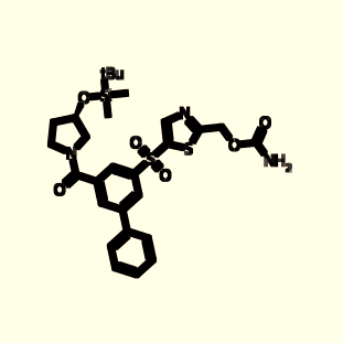 CC(C)(C)[Si](C)(C)O[C@@H]1CCN(C(=O)c2cc(-c3ccccc3)cc(S(=O)(=O)c3cnc(COC(N)=O)s3)c2)C1